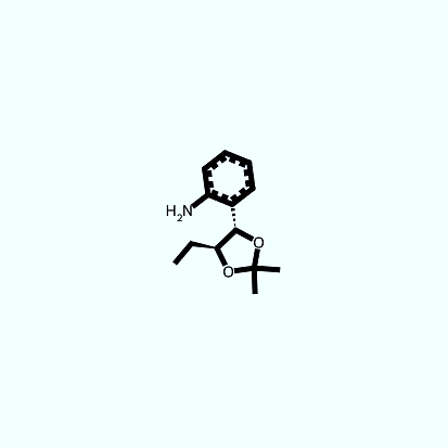 CC[C@@H]1OC(C)(C)O[C@H]1c1ccccc1N